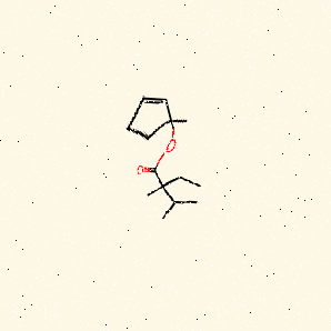 CCC(C)(C(=O)OC1(C)C=CCC1)C(C)C